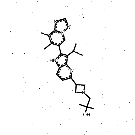 Cc1c(-c2[nH]c3ccc(C4CN(CC(C)(C)O)C4)nc3c2C(C)C)cn2ncnc2c1C